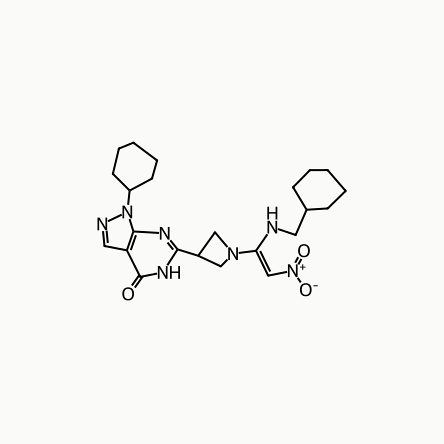 O=c1[nH]c(C2CN(C(=C[N+](=O)[O-])NCC3CCCCC3)C2)nc2c1cnn2C1CCCCC1